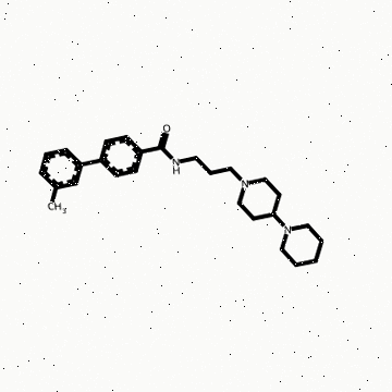 Cc1cccc(-c2ccc(C(=O)NCCCN3CCC(N4CCCCC4)CC3)cc2)c1